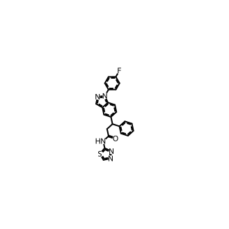 O=C(CC(c1ccccc1)c1ccc2c(cnn2-c2ccc(F)cc2)c1)Nc1nncs1